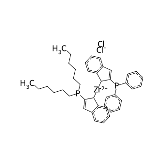 CCCCCCP(CCCCCC)C1=Cc2ccccc2[CH]1[Zr+2][CH]1C(P(c2ccccc2)c2ccccc2)=Cc2ccccc21.[Cl-].[Cl-]